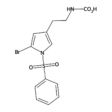 O=C(O)NCCc1cc(Br)n(S(=O)(=O)c2ccccc2)c1